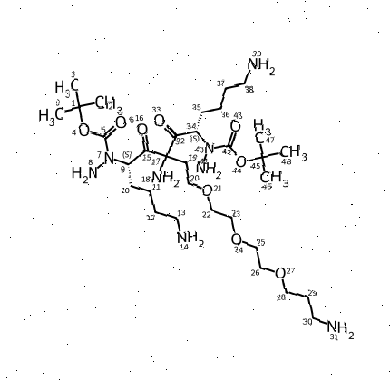 CC(C)(C)OC(=O)N(N)[C@@H](CCCCN)C(=O)C(N)(CCOCCOCCOCCCN)C(=O)[C@H](CCCCN)N(N)C(=O)OC(C)(C)C